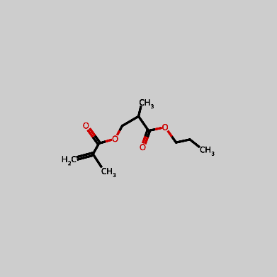 C=C(C)C(=O)OCC(C)C(=O)OCCC